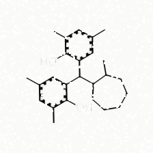 Cc1cc(C)c(O)c(C(c2cc(C)cc(C)c2O)C2CCCCCC2C)c1